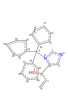 C=CC(O)c1cncn1C(c1ccccc1)(c1ccccc1)c1ccccc1